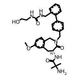 COc1ccc2c(c1)C[C@@H](NC(=O)C(C)(C)N)C(=O)N(Cc1ccc(-c3ccccc3CNC(=O)NCCO)cc1)C2